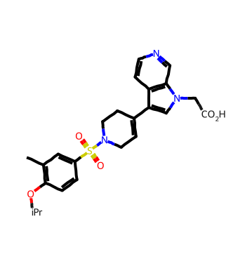 Cc1cc(S(=O)(=O)N2CC=C(c3cn(CC(=O)O)c4cnccc34)CC2)ccc1OC(C)C